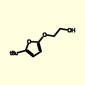 CC(C)(C)c1ccc(OCCO)o1